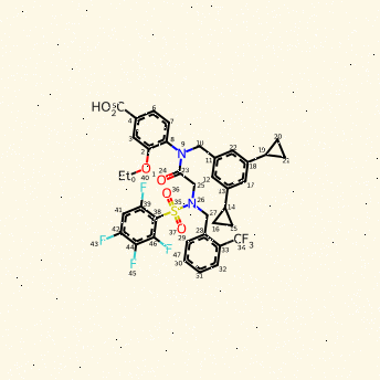 CCOc1cc(C(=O)O)ccc1N(Cc1cc(C2CC2)cc(C2CC2)c1)C(=O)CN(Cc1ccccc1C(F)(F)F)S(=O)(=O)c1c(F)cc(F)c(F)c1F